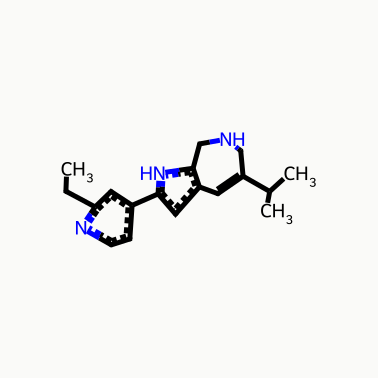 CCc1cc(-c2cc3c([nH]2)CNCC(C(C)C)=C3)ccn1